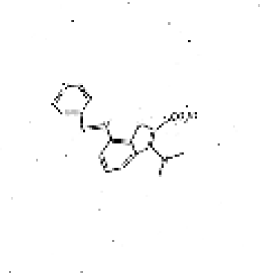 CCOC(=O)c1sc2c(N=Nc3ccncc3)cccc2c1N(C)C